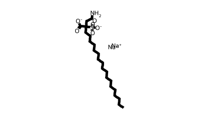 CCCCCCCCCCCCCCCCCCC(CC(N)=O)(C(=O)[O-])S(=O)(=O)[O-].[Na+].[Na+]